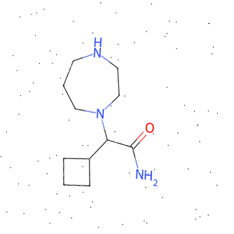 NC(=O)C(C1CCC1)N1CCCNCC1